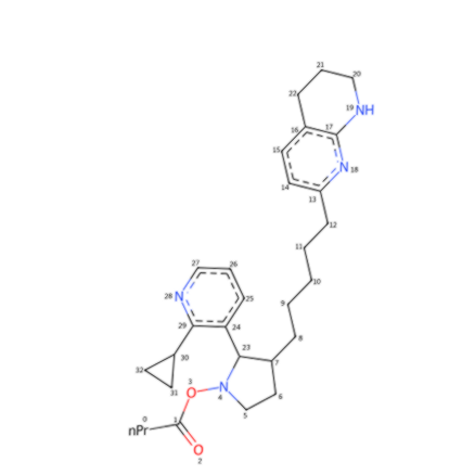 CCCC(=O)ON1CCC(CCCCCc2ccc3c(n2)NCCC3)C1c1cccnc1C1CC1